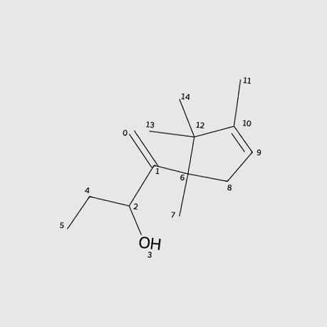 C=C(C(O)CC)C1(C)CC=C(C)C1(C)C